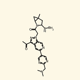 BBC1CC2(C)CC2N1C(=O)Cn1nc(C(C)=O)c2cc(-c3cnc(CN(C)C)nc3)ncc21